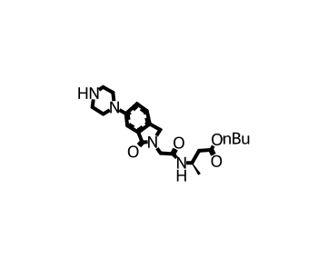 CCCCOC(=O)C[C@@H](C)NC(=O)CN1Cc2ccc(N3CCNCC3)cc2C1=O